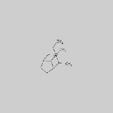 CCOC1C2CCC1C(C)N(C)C2